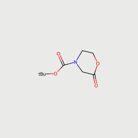 CC(C)(C)OC(=O)N1CCOC(=O)C1